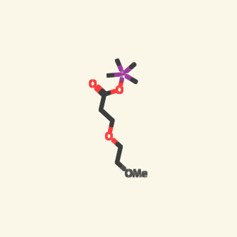 COCCOCCC(=O)OP(C)(C)(C)C